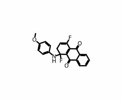 COc1ccc(NC2(F)CC=C(F)C3=C2C(=O)c2ccccc2C3=O)cc1